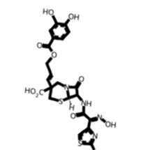 Nc1nc(C(=NO)C(=O)NC2C(=O)N3CC(C=CCOC(=O)c4ccc(O)c(O)c4)(C(=O)O)CS[C@H]23)cs1